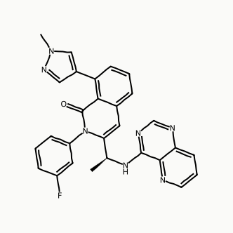 C[C@H](Nc1ncnc2cccnc12)c1cc2cccc(-c3cnn(C)c3)c2c(=O)n1-c1cccc(F)c1